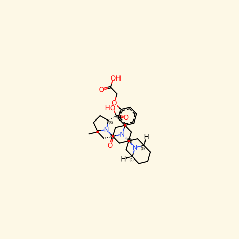 CCC[C@@H]1CCC[C@@H](N2[C@@H]3CCC[C@H]2C[C@@H](N(C(=O)N2CCC[C@@H]2C(=O)O)c2cccc(OCC(=O)O)c2)C3)C1